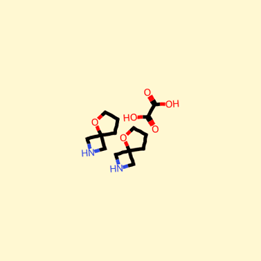 C1COC2(C1)CNC2.C1COC2(C1)CNC2.O=C(O)C(=O)O